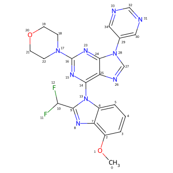 COc1cccc2c1nc(C(F)F)n2-c1nc(N2CCOCC2)nc2c1ncn2-c1cncnc1